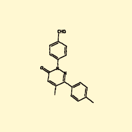 Cc1ccc(-c2nn(-c3ccc(C=O)cc3)c(=O)cc2C)cc1